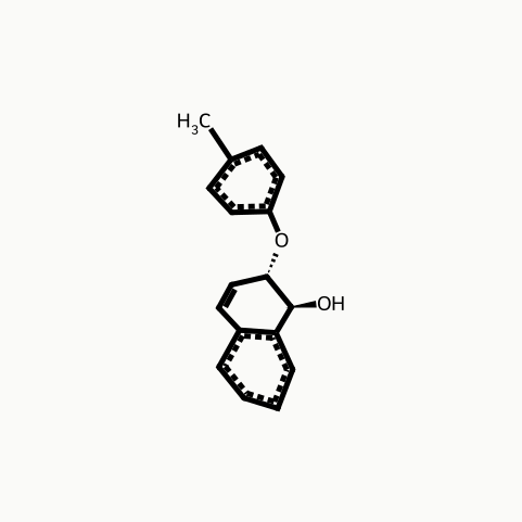 Cc1ccc(O[C@H]2C=Cc3ccccc3[C@@H]2O)cc1